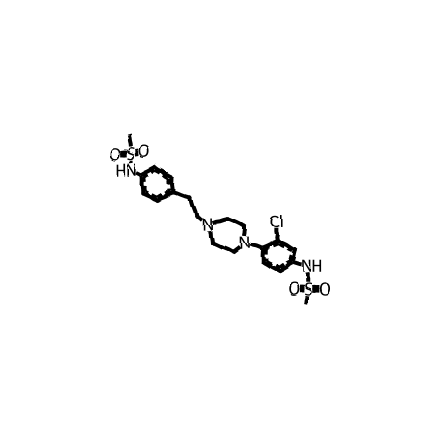 CS(=O)(=O)Nc1ccc(CCN2CCN(c3ccc(NS(C)(=O)=O)cc3Cl)CC2)cc1